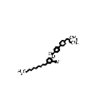 CCCCCCCCCCc1ccc(OC(=O)c2ccc(C3CCC(CC(C)CC)CC3)cc2)c(C#N)c1